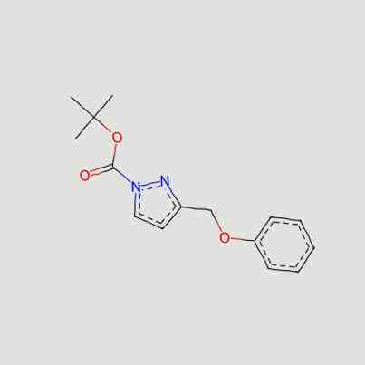 CC(C)(C)OC(=O)n1ccc(COc2ccccc2)n1